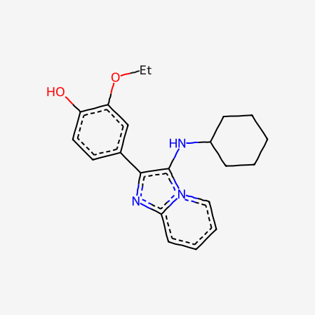 CCOc1cc(-c2nc3ccccn3c2NC2CCCCC2)ccc1O